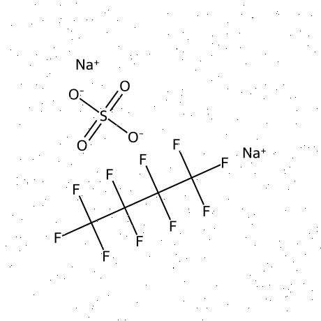 FC(F)(F)C(F)(F)C(F)(F)C(F)(F)F.O=S(=O)([O-])[O-].[Na+].[Na+]